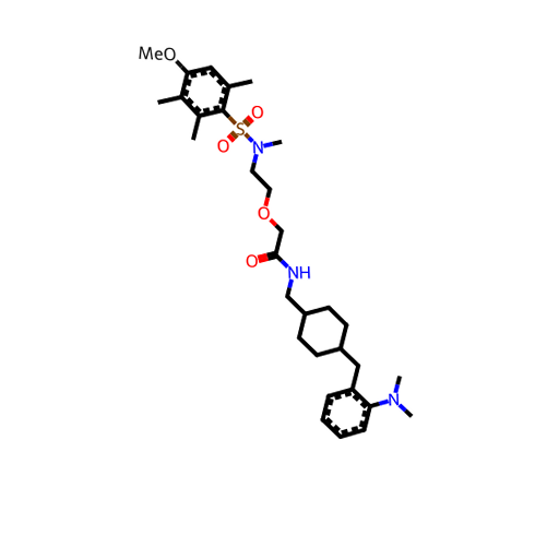 COc1cc(C)c(S(=O)(=O)N(C)CCOCC(=O)NCC2CCC(Cc3ccccc3N(C)C)CC2)c(C)c1C